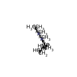 C=C(O)CCC(=O)NC(CSC/C=C(\C)CC/C=C(\C)CCC=C(C)C)C(C)=O